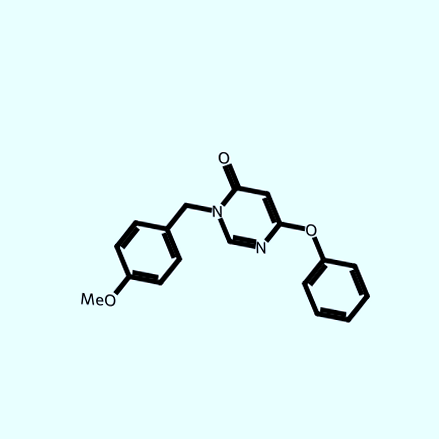 COc1ccc(Cn2cnc(Oc3ccccc3)cc2=O)cc1